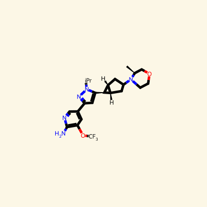 CC(C)n1nc(-c2cnc(N)c(OC(F)(F)F)c2)cc1[C@H]1[C@@H]2CC(N3CCOC[C@@H]3C)C[C@@H]21